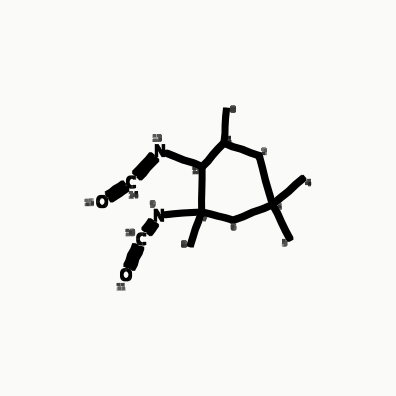 CC1CC(C)(C)CC(C)(N=C=O)C1N=C=O